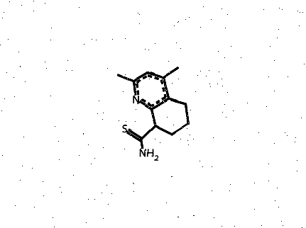 Cc1cc(C)c2c(n1)C(C(N)=S)CCC2